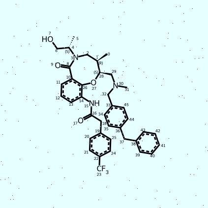 C[C@@H]1CN([C@@H](C)CO)C(=O)c2cccc(NC(=O)Cc3ccc(C(F)(F)F)cc3)c2O[C@@H]1CN(C)Cc1ccc(Cc2ccccc2)cc1